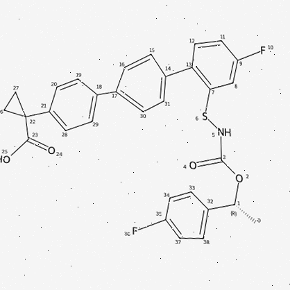 C[C@@H](OC(=O)NSc1cc(F)ccc1-c1ccc(-c2ccc(C3(C(=O)O)CC3)cc2)cc1)c1ccc(F)cc1